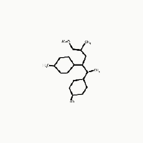 CCCC1CCC([C@H](C)C(CC(C)COC)C2CCC(C)CC2)CC1